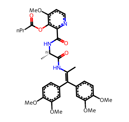 CCCC(=O)Oc1c(OC)ccnc1C(=O)N[C@@H](C)C(=O)NC(C)=C(c1ccc(OC)c(OC)c1)c1ccc(OC)c(OC)c1